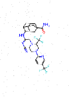 N#C/N=C(\CN1CCN(c2ccc(C(F)(F)F)cn2)CC1C(F)(F)F)NC1C2CC3CC1CC(C(N)=O)(C3)C2